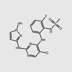 CCCn1ccc(Nc2ncc(Cl)c(Nc3cccc(F)c3NS(C)(=O)=O)n2)n1